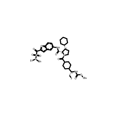 CCN(C(C)C)S(=O)(=O)C(=O)c1cc2cc(NC(=O)[C@@H]3[C@H](C4CCCCC4)CCN3C(=O)C3CCC([C@@H](CF)NC(=O)OC(C)(C)C)CC3)ccc2o1